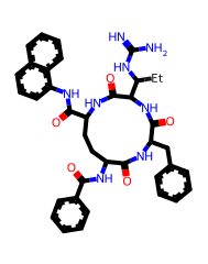 CCC(NC(=N)N)C1NC(=O)C(Cc2ccccc2)NC(=O)C(NC(=O)c2ccccc2)CCC(C(=O)Nc2cccc3ccccc23)NC1=O